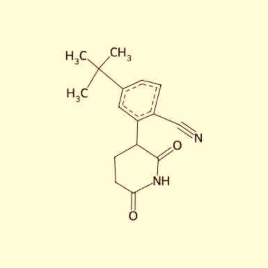 CC(C)(C)c1ccc(C#N)c(C2CCC(=O)NC2=O)c1